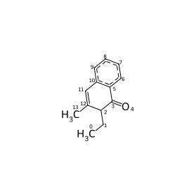 CCC1C(=O)c2ccccc2C=C1C